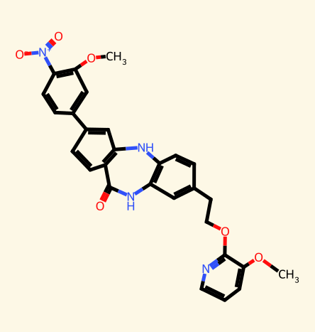 COc1cc(-c2ccc3c(c2)Nc2ccc(CCOc4ncccc4OC)cc2NC3=O)ccc1[N+](=O)[O-]